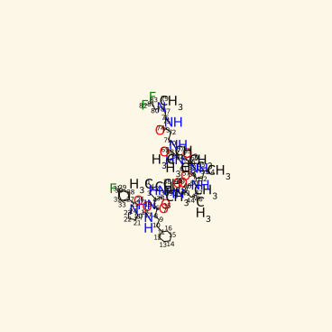 CC(C)CC(NC(=O)C(CCC1CCCCC1)NC(=O)[C@@H]1CCCN1C(=O)c1ccc(F)cc1)C(=O)NC(C)(C)C(=O)NC(CC(C)C)C(=O)NC(CC(C)C)C(=O)NC(C)(C)C(=O)NC(C)(C)C(=O)NCCC(=O)NCCN(C)CC(F)F